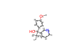 COc1ccc(C(O)(c2cccnc2)C(C)(C)C)cc1